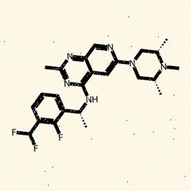 Cc1nc(N[C@H](C)c2cccc(C(F)F)c2F)c2cc(N3C[C@@H](C)N(C)[C@@H](C)C3)ncc2n1